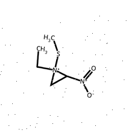 CC[N+]1(SC)CC1[N+](=O)[O-]